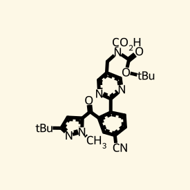 Cn1nc(C(C)(C)C)cc1C(=O)c1cc(C#N)ccc1-c1ncc(CN(C(=O)O)C(=O)OC(C)(C)C)cn1